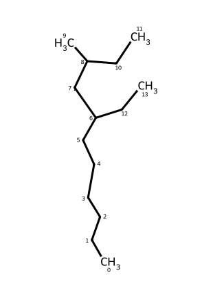 CCCCCCC([CH]C(C)CC)CC